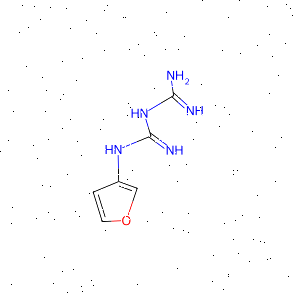 N=C(N)NC(=N)Nc1ccoc1